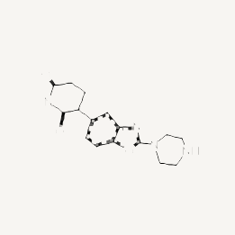 O=C1CCC(c2ccc3oc(N4CCNCC4)nc3c2)C(=O)N1